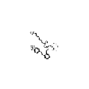 CCCCCCCC(=O)O[C@H](CCc1ccccc1CCc1ccc(OC)cc1)CN(C)C